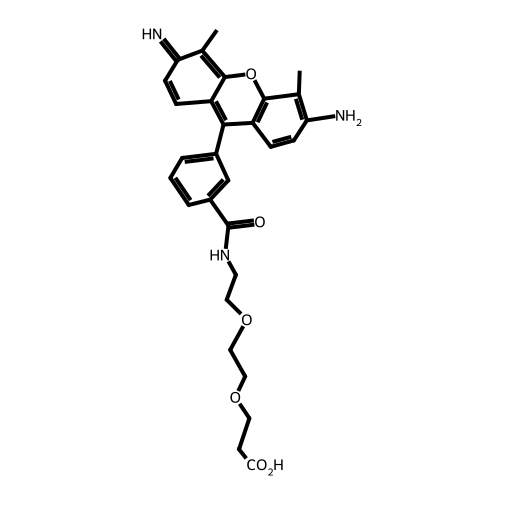 Cc1c2oc3c(C)c(N)ccc3c(-c3cccc(C(=O)NCCOCCOCCC(=O)O)c3)c-2ccc1=N